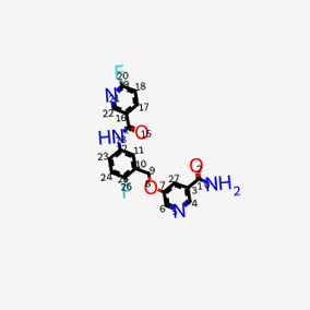 NC(=O)c1cncc(OCc2cc(NC(=O)c3ccc(F)nc3)ccc2F)c1